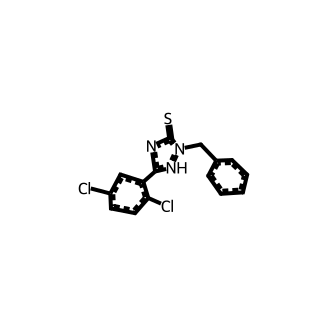 S=c1nc(-c2cc(Cl)ccc2Cl)[nH]n1Cc1ccccc1